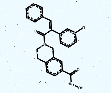 O=C(NO)c1ccc2c(c1)CN(C(=O)/C(=C\c1ccccc1)c1cccc(Cl)c1)CC2